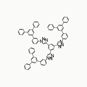 c1ccc(-c2cc(-c3ccccc3)cc(-c3cccc(-n4cc(-c5cc(-c6cn(-c7cccc(-c8cc(-c9ccccc9)cc(-c9ccccc9)c8)c7)nn6)cc(-c6cn(-c7cccc(-c8cc(-c9ccccc9)cc(-c9ccccc9)c8)c7)nn6)c5)nn4)c3)c2)cc1